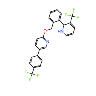 FC(F)(F)C1=CC=[C]NC1c1ccccc1COc1ccc(-c2ccc(C(F)(F)F)cc2)cn1